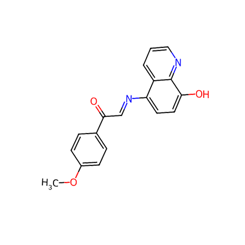 COc1ccc(C(=O)/C=N/c2ccc(O)c3ncccc23)cc1